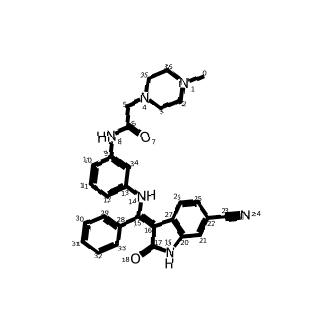 CN1CCN(CC(=O)Nc2cccc(NC(=C3C(=O)Nc4cc(C#N)ccc43)c3ccccc3)c2)CC1